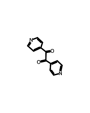 O=C(C(=O)c1ccncc1)c1ccncc1